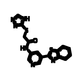 O=C(CSc1nnc[nH]1)Nc1cncc(-c2nc3ccccc3s2)c1